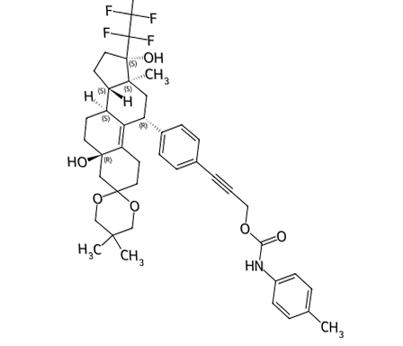 Cc1ccc(NC(=O)OCC#Cc2ccc([C@H]3C[C@@]4(C)[C@@H](CC[C@@]4(O)C(F)(F)C(F)(F)F)[C@@H]4CC[C@@]5(O)CC6(CCC5=C43)OCC(C)(C)CO6)cc2)cc1